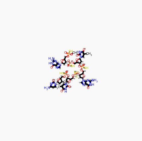 COP(=O)(S)OCC1O[C@@H](n2cnc3c(=O)[nH]c(N)nc32)C[C@H]1OP(=O)(S)OCC1O[C@@H](n2cc(C)c(=O)[nH]c2=O)C[C@H]1OP(=O)(S)OCC1O[C@@H](n2cnc3c(=O)[nH]c(N)nc32)C[C@H]1OP(=S)(S)OCC1O[C@@H](n2cc(C)c(=O)[nH]c2=O)C[C@H]1OP(=O)(S)OCC1O[C@@H](n2ccc(N)nc2=O)C[C@H]1C